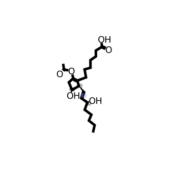 CCCCC[C@H](O)/C=C/[C@@H]1C(CCCCCCC(=O)O)=C(OC(C)=O)C[C@H]1O